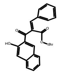 CC(C)(C)OC(=O)C(=Cc1ccccc1)C(=O)c1cc2ccccc2cc1O